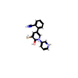 N#Cc1ccccc1-c1cc(Br)c(=O)n(-c2cccnc2)c1